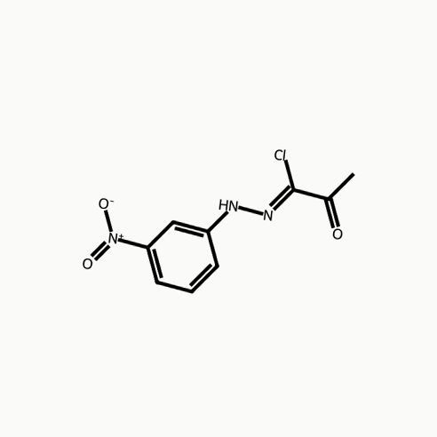 CC(=O)C(Cl)=NNc1cccc([N+](=O)[O-])c1